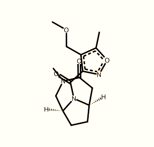 COCc1c(C(=O)N2[C@@H]3CC[C@H]2CN(C)C(=O)C3)noc1C